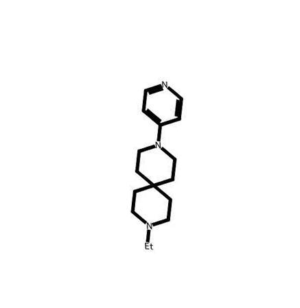 CCN1CCC2(CC1)CCN(c1ccncc1)CC2